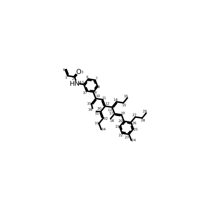 C=CC(=O)Nc1cccc(C(/C=C(C(=CCC)/C(C)=C/c2ccc(C)cc2CCC)\C(C)=C\CC)=C/C)c1